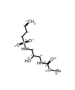 C=CCCS(=O)(=O)NCC(O)CNC(=O)OC(C)(C)C